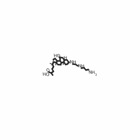 CC(CCC[C@@H](C)[C@H]1CCC2C3C(CC[C@@]21C)[C@@]1(C)CC[C@H](NCCCNCCCCN)C[C@@H]1C[C@H]3O)C(=O)O